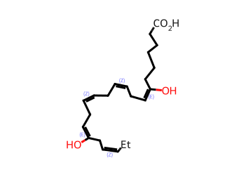 CC/C=C\C/C(O)=C\C/C=C\C/C=C\C/C=C(/O)CCCCCC(=O)O